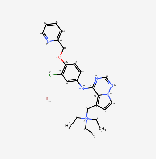 CC[N+](CC)(CC)Cc1ccn2ncnc(Nc3ccc(OCc4ccccn4)c(Cl)c3)c12.[Br-]